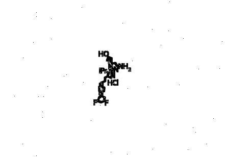 CC(C)c1c(C=CCN2CCN(c3cc(F)cc(F)c3)CC2)cnn1-c1nc(N)cc(N2CC(O)C2)n1.Cl